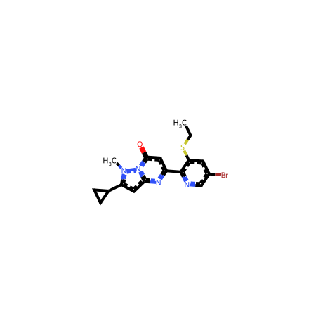 CCSc1cc(Br)cnc1-c1cc(=O)n2c(cc(C3CC3)n2C)n1